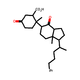 CC(C)CCCC(C)C1CCC2C(=O)C(C3(C)CCC(=O)CC3C(=O)O)CCC21C